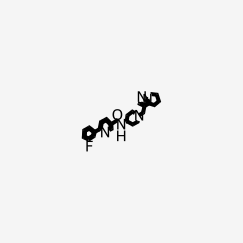 O=C(NC1CCN(Cc2cnn3c2CCCC3)CC1)c1ccc(-c2cccc(F)c2)nc1